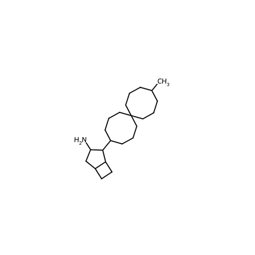 CC1CCCC2(CCC1)CCCC(C1C(N)CC3CCC31)CCC2